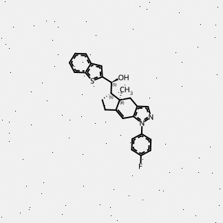 C[C@]12Cc3cnn(-c4ccc(F)cc4)c3C=C1CC[C@@H]2[C@H](O)c1cc2ccccc2s1